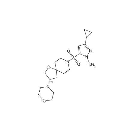 Cn1nc(C2CC2)cc1S(=O)(=O)N1CCC2(CC1)C[C@H](N1CCOCC1)CO2